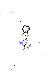 O=C(O)C1CC(Oc2ccccc2F)CN1